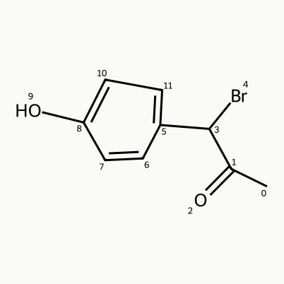 CC(=O)C(Br)c1ccc(O)cc1